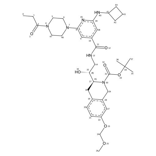 CCC(=O)N1CCN(c2cc(C(=O)NC[C@@H](O)[C@@H]3Cc4ccc(OCOC)cc4CN3C(=O)OC(C)(C)C)cc(NC3CCC3)n2)CC1